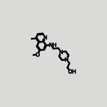 COc1cc(NCCN2CCN(CCO)CC2)c2nccc(C)c2c1